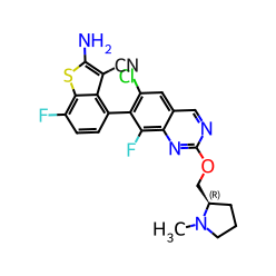 CN1CCC[C@@H]1COc1ncc2cc(Cl)c(-c3ccc(F)c4sc(N)c(C#N)c34)c(F)c2n1